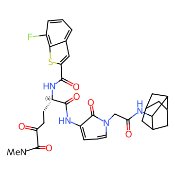 CNC(=O)C(=O)CC[C@H](NC(=O)c1cc2cccc(F)c2s1)C(=O)Nc1cccn(CC(=O)NC2C3CC4CC(C3)C2C4)c1=O